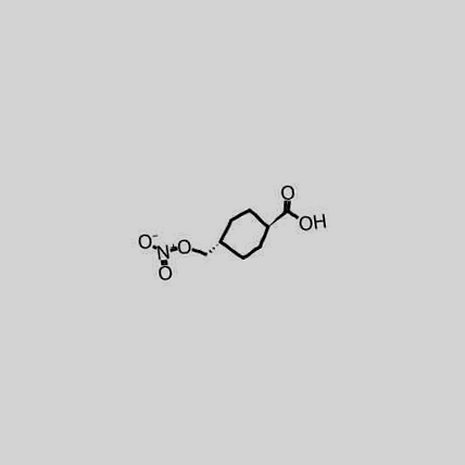 O=C(O)[C@H]1CC[C@H](CO[N+](=O)[O-])CC1